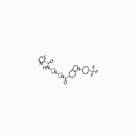 O=C(NC1CN(C2CN(C(=O)c3ccc4c(ccn4-c4ccc(C(F)(F)F)cc4)c3)C2)C1)c1nccs1